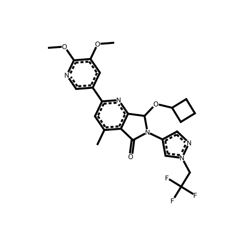 COc1cc(-c2cc(C)c3c(n2)C(OC2CCC2)N(c2cnn(CC(F)(F)F)c2)C3=O)cnc1OC